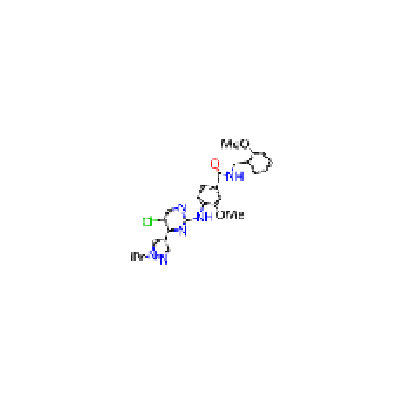 COc1ccccc1CNC(=O)c1ccc(Nc2ncc(Cl)c(-c3cnn(C(C)C)c3)n2)c(OC)c1